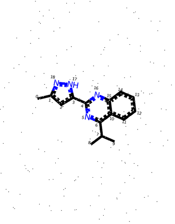 Cc1cc(-c2nc(C(C)C)c3ccccc3n2)[nH]n1